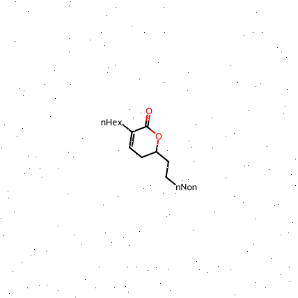 CCCCCCCCCCCC1CC=C(CCCCCC)C(=O)O1